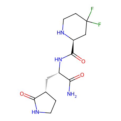 NC(=O)[C@H](C[C@@H]1CCNC1=O)NC(=O)[C@@H]1CC(F)(F)CCN1